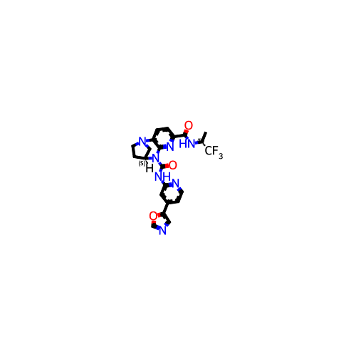 C[C@@H](NC(=O)c1ccc2c(n1)N(C(=O)Nc1cc(-c3cnco3)ccn1)[C@H]1CCN2C1)C(F)(F)F